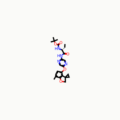 CC[C@@H](NC(=O)OC(C)(C)C)C(=O)Nc1cnc(Oc2ccc(C)c3c2C2(CC2)CO3)cn1